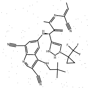 C=C(/C(C)=N\C(C#N)=C/C)[C@H](Nc1cc(C#N)c2ncc(C#N)c(NCC(C)(C)C)c2c1)C1=CN(C2(C(F)(F)F)CC2)NN1